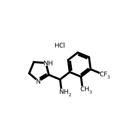 Cc1c(C(N)C2=NCCN2)cccc1C(F)(F)F.Cl